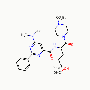 CCOC(=O)N1CCN(C(=O)C(CCC(=O)O)NC(=O)c2cc(N(C)C(C)C)nc(-c3ccccc3)n2)CC1.O=CO